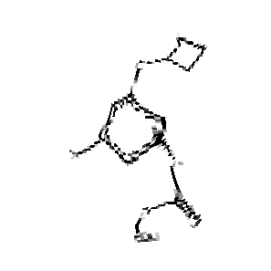 CC(C)(C)OC(=O)Nc1cc(Br)cc(OC2CCC2)c1